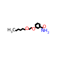 CCCCCCOCCOc1cccc(C(N)=O)c1